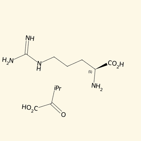 CC(C)C(=O)C(=O)O.N=C(N)NCCC[C@H](N)C(=O)O